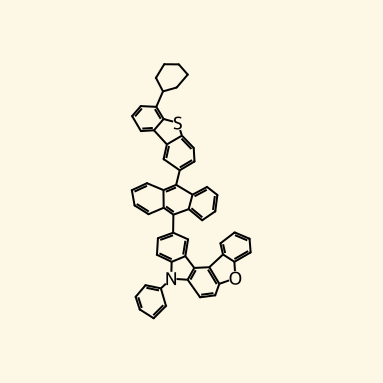 c1ccc(-n2c3ccc(-c4c5ccccc5c(-c5ccc6sc7c(C8CCCCC8)cccc7c6c5)c5ccccc45)cc3c3c4c(ccc32)oc2ccccc24)cc1